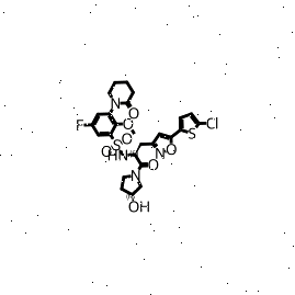 COc1c(N2CCCCC2=O)cc(F)cc1S(=O)(=O)N[C@@H](Cc1cc(-c2ccc(Cl)s2)on1)C(=O)N1CC[C@@H](O)C1